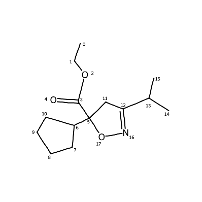 CCOC(=O)C1(C2CCCC2)CC(C(C)C)=NO1